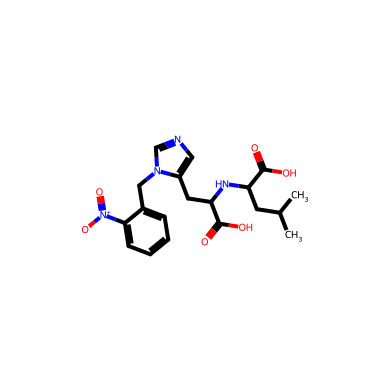 CC(C)CC(NC(Cc1cncn1Cc1ccccc1[N+](=O)[O-])C(=O)O)C(=O)O